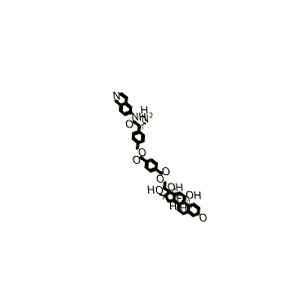 C[C@@H]1C[C@H]2[C@@H]3CCC4=CC(=O)C=C[C@]4(C)[C@@]3(F)[C@@H](O)C[C@]2(C)[C@@]1(O)C(O)COC(=O)c1ccc(C(=O)OCc2ccc([C@@H](CN)C(=O)Nc3ccc4cnccc4c3)cc2)cc1